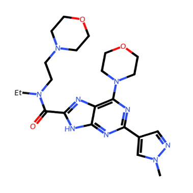 CCN(CCN1CCOCC1)C(=O)c1nc2c(N3CCOCC3)nc(-c3cnn(C)c3)nc2[nH]1